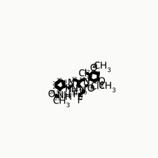 COc1cc(OC)c(Cl)c(N2Cc3cnc(Nc4ccccc4NC(C)=O)nc3N(CC(F)F)C2=O)c1Cl